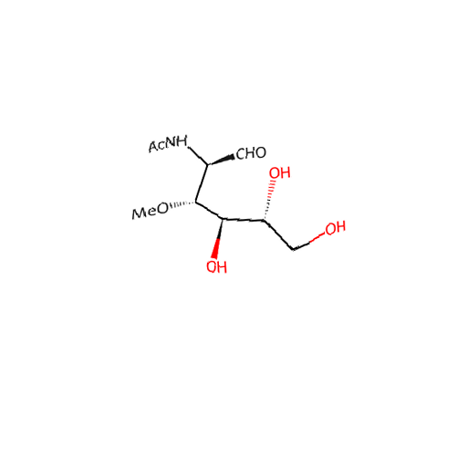 CO[C@@H]([C@H](O)[C@H](O)CO)[C@H](C=O)NC(C)=O